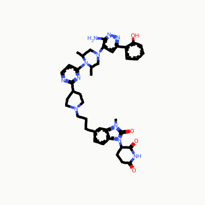 CC1CN(c2cc(-c3ccccc3O)nnc2N)CC(C)N1c1ccnc(C2CCN(CCCc3ccc4c(c3)n(C)c(=O)n4C3CCC(=O)NC3=O)CC2)n1